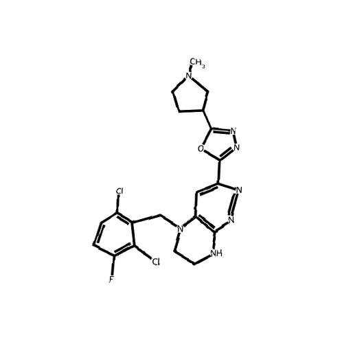 CN1CCC(c2nnc(-c3cc4c(nn3)NCCN4Cc3c(Cl)ccc(F)c3Cl)o2)C1